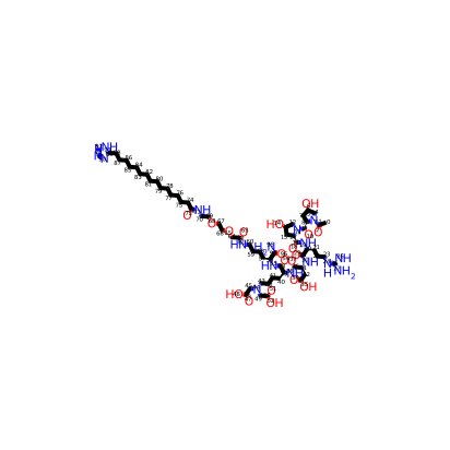 CC(=O)N1C[C@H](O)C[C@H]1C(=O)N1C[C@H](O)C[C@H]1C(=O)N[C@@H](CCCNC(=N)N)C(=O)N[C@@H](CC(=O)O)C(=O)N[C@@H](CCCCN(CC(=O)O)CC(=O)O)C(=O)N[C@@H](CCCCNC(=O)COCCOCCNC(=O)CCCCCCCCCCCCCCCc1nnn[nH]1)C(N)=O